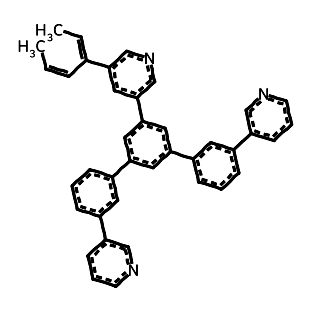 C/C=C\C(=C/C)c1cncc(-c2cc(-c3cccc(-c4cccnc4)c3)cc(-c3cccc(-c4cccnc4)c3)c2)c1